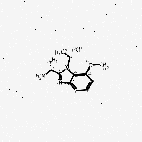 CCn1c([C@@H](C)N)nc2cccc(OC)c21.Cl